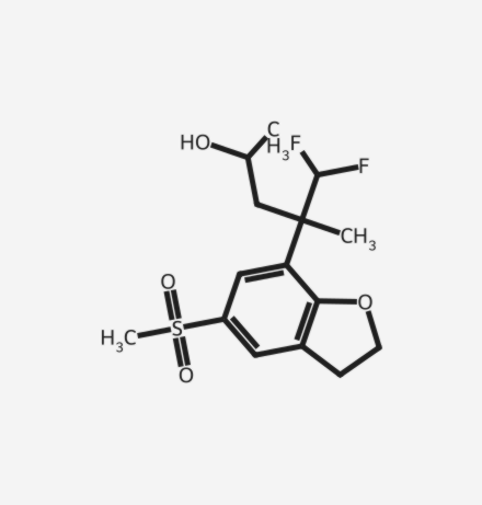 CC(O)CC(C)(c1cc(S(C)(=O)=O)cc2c1OCC2)C(F)F